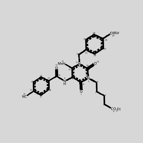 CCOC(=O)CCCCn1c(=O)c(NC(=O)c2ccc(C#N)cc2)c(NC)n(Cc2ccc(OC)cc2)c1=O